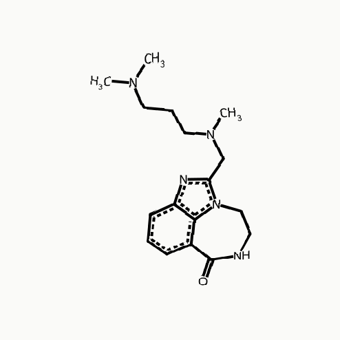 CN(C)CCCN(C)Cc1nc2cccc3c2n1CCNC3=O